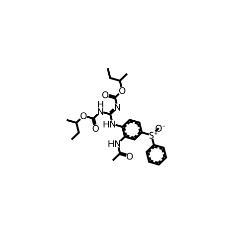 CCC(C)OC(=O)N=C(NC(=O)OC(C)CC)Nc1ccc([S+]([O-])c2ccccc2)cc1NC(C)=O